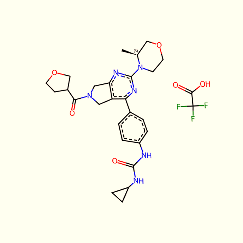 C[C@H]1COCCN1c1nc2c(c(-c3ccc(NC(=O)NC4CC4)cc3)n1)CN(C(=O)C1CCOC1)C2.O=C(O)C(F)(F)F